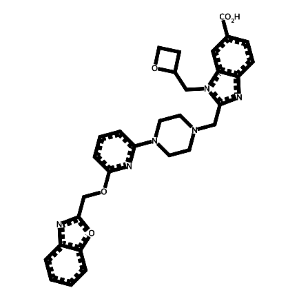 O=C(O)c1ccc2nc(CN3CCN(c4cccc(OCc5nc6ccccc6o5)n4)CC3)n(CC3CCO3)c2c1